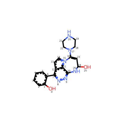 Oc1ccccc1-c1nnc2c3c1ccn3C(N1CCNCC1)=CC(O)N2